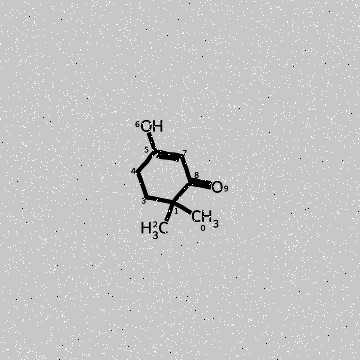 CC1(C)CCC(O)=CC1=O